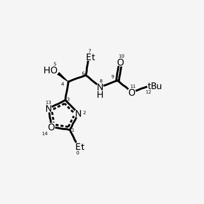 CCc1nc([C@@H](O)C(CC)NC(=O)OC(C)(C)C)no1